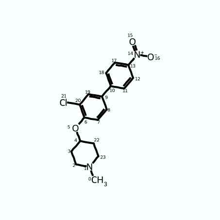 CN1CCC(Oc2ccc(-c3ccc([N+](=O)[O-])cc3)cc2Cl)CC1